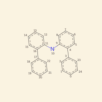 c1ccc(-c2ccccc2[N]c2ccccc2-c2ccccc2)cc1